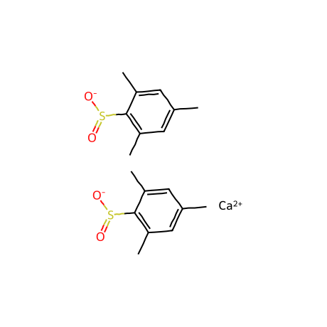 Cc1cc(C)c(S(=O)[O-])c(C)c1.Cc1cc(C)c(S(=O)[O-])c(C)c1.[Ca+2]